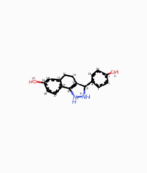 Oc1ccc(C2NNC3=C2CCc2cc(O)ccc23)cc1